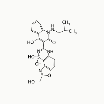 CC(C)CNn1c(=O)c(C2=NS(O)(O)c3c(ccc4oc(CO)nc34)N2)c(O)c2ccccc21